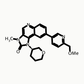 COCc1ccc(-c2ccc3ncc4c(c3c2)n([C@@H]2CCCOC2)c(=O)n4C)cn1